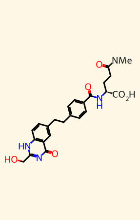 CNC(=O)CC[C@H](NC(=O)c1ccc(CCc2ccc3[nH]c(CO)nc(=O)c3c2)cc1)C(=O)O